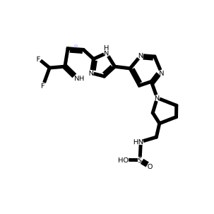 N=C(/C=C\c1ncc(-c2cc(N3CCC(CNS(=O)O)C3)ncn2)[nH]1)C(F)F